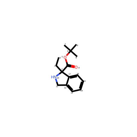 CCC1(C(=O)OC(C)(C)C)NCc2ccccc21